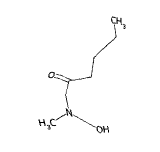 CCCCC(=O)N(C)O